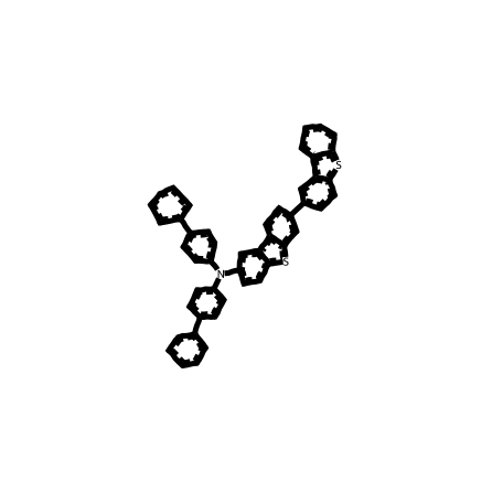 c1ccc(-c2ccc(N(c3ccc(-c4ccccc4)cc3)c3ccc4sc5cc(-c6ccc7sc8ccccc8c7c6)ccc5c4c3)cc2)cc1